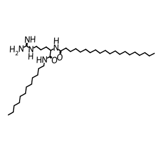 CCCCCCCCCCCCCCCCCCCC(=O)NC(CCCNC(=N)N)C(=O)NCCCCCCCCCCCC